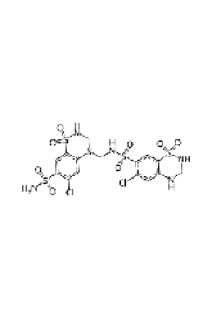 NS(=O)(=O)c1cc2c(cc1Cl)N(CNS(=O)(=O)c1cc3c(cc1Cl)NCNS3(=O)=O)CNS2(=O)=O